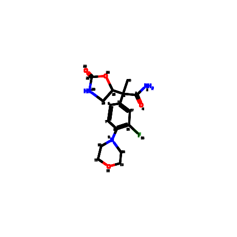 CC(C(N)=O)(c1ccc(N2CCOCC2)c(F)c1)C1CNC(=O)O1